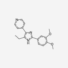 CCc1[nH]c(-c2ccc(OC)c(OC)c2)nc1-c1ccncc1